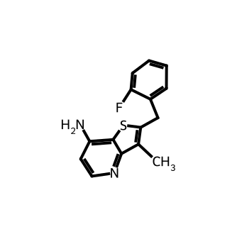 Cc1c(Cc2ccccc2F)sc2c(N)ccnc12